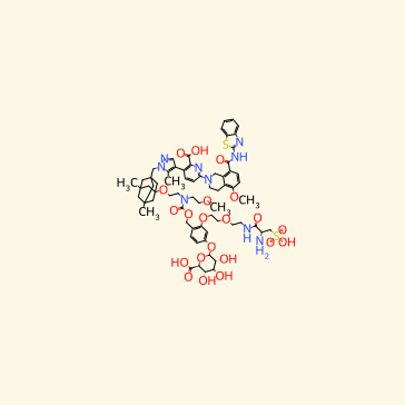 COCCN(CCOC12CC3(C)CC(C)(CC(Cn4ncc(-c5ccc(N6CCc7c(OC)ccc(C(=O)Nc8nc9ccccc9s8)c7C6)nc5C(=O)O)c4C)(C3)C1)C2)C(=O)OCc1ccc(O[C@@H]2O[C@H](C(=O)O)[C@@H](O)[C@H](O)[C@H]2O)cc1OCCOCCNC(=O)C(N)CS(=O)(=O)O